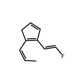 C/C=C\C1=C(/C=C/F)C=CC1